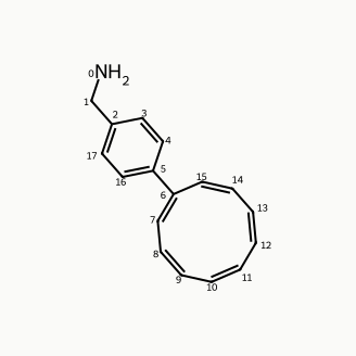 NCc1ccc(-c2ccccccccc2)cc1